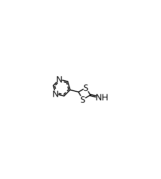 N=C1SC(c2cncnc2)S1